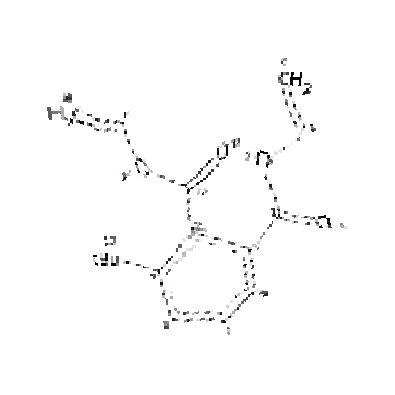 C=COC(=O)c1cccc(C(C)(C)C)c1C(=O)OC=C